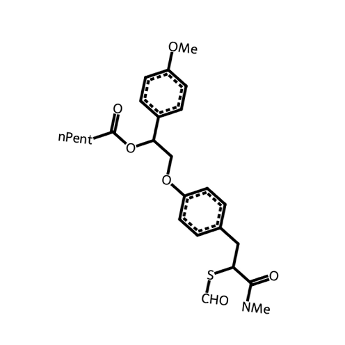 CCCCCC(=O)OC(COc1ccc(CC(SC=O)C(=O)NC)cc1)c1ccc(OC)cc1